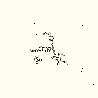 CCC[N+](CCCc1ccc(OC)cc1)(CCCc1ccc(OC)cc1)CCNC(=O)c1nc(Cl)c(N)nc1N.O=C([O-])C(F)(F)F